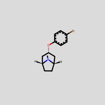 CN1[C@@H]2CC[C@H]1C[C@@H](Oc1ccc(Br)cc1)C2